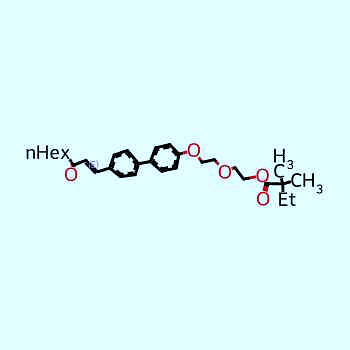 CCCCCCC(=O)/C=C/c1ccc(-c2ccc(OCCOCCOC(=O)C(C)(C)CC)cc2)cc1